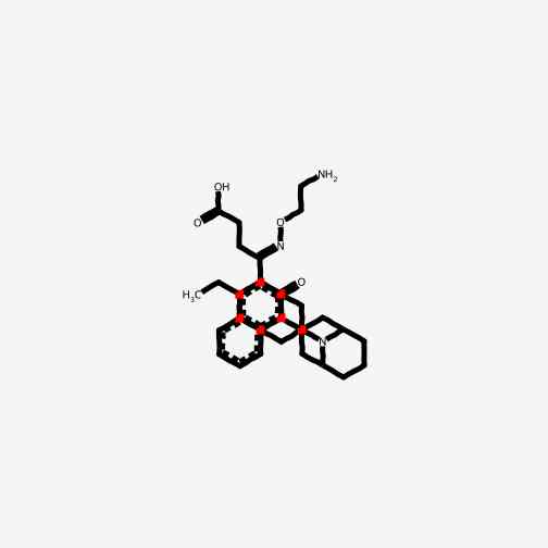 CCC1CC2CC(C1)CC(N1C3CCCC1CC(n1c(=O)c(/C(CCC(=O)O)=N/OCCN)nc4ccccc41)C3)C2